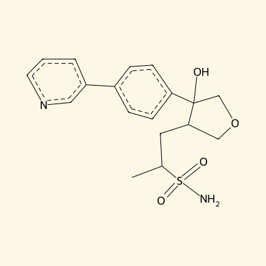 CC(CC1COCC1(O)c1ccc(-c2cccnc2)cc1)S(N)(=O)=O